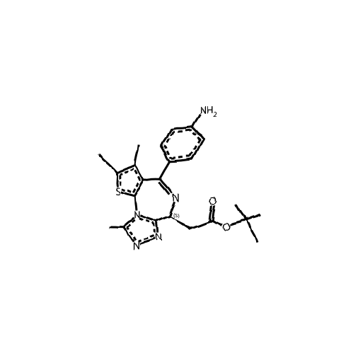 Cc1sc2c(c1C)C(c1ccc(N)cc1)=N[C@@H](CC(=O)OC(C)(C)C)c1nnc(C)n1-2